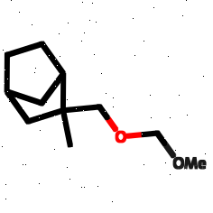 COCOCC1(C)CC2CCC1C2